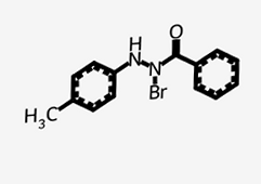 Cc1ccc(NN(Br)C(=O)c2ccccc2)cc1